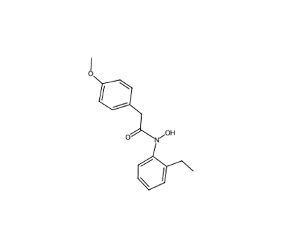 CCc1ccccc1N(O)C(=O)Cc1ccc(OC)cc1